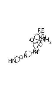 COc1cc2c(cnn2C2CCN(C3CC4(CCNCC4)C3)CC2)cc1C1(C(N)=O)C=CC=C(C(F)(F)F)N1